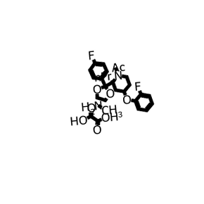 CCCC1(C2(c3ccc(F)cc3)OCCO2)CC(Oc2ccccc2F)CCN1C(C)=O.CN.O=C(O)C(=O)O